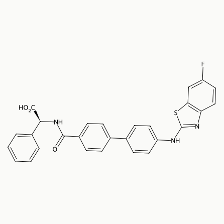 O=C(N[C@H](C(=O)O)c1ccccc1)c1ccc(-c2ccc(Nc3nc4ccc(F)cc4s3)cc2)cc1